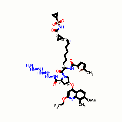 COc1ccc2c(O[C@@H]3C[C@@H](C(=O)NNNNNNN)N(C(=O)[C@H](CCCCC/C=C\[C@@H]4C[C@@H]4C(=O)NS(=O)(=O)C4CC4)NC(=O)c4ccc(C)s4)C3)cc(OCC(F)(F)F)nc2c1C